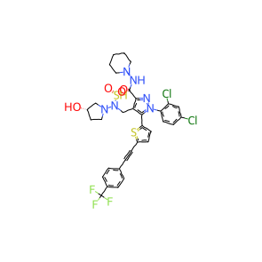 O=C(NN1CCCCC1)c1nn(-c2ccc(Cl)cc2Cl)c(-c2ccc(C#Cc3ccc(C(F)(F)F)cc3)s2)c1CN(N1CC[C@H](O)C1)[SH](=O)=O